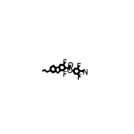 CCCc1ccc2c(c1)Cc1c-2cc(F)c(C(=O)Oc2cc(F)c(C#N)c(F)c2)c1F